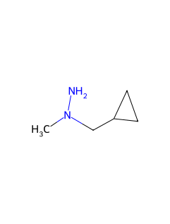 CN(N)CC1CC1